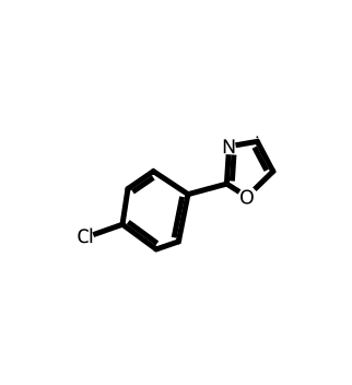 Clc1ccc(-c2n[c]co2)cc1